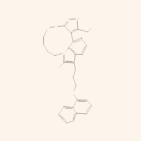 CCc1[nH]nc2c1-c1c(F)ccc3c(CCCOc4cccc5ccccc45)c(C)n(c13)CCCCOC2